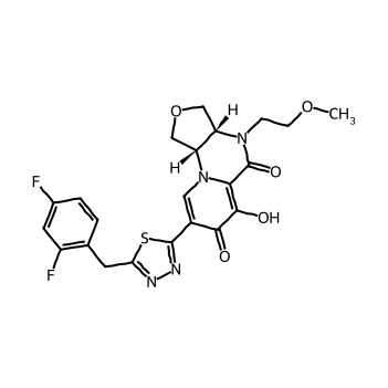 COCCN1C(=O)c2c(O)c(=O)c(-c3nnc(Cc4ccc(F)cc4F)s3)cn2[C@@H]2COC[C@@H]21